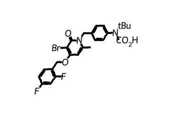 Cc1cc(OCc2ccc(F)cc2F)c(Br)c(=O)n1Cc1ccc(N(C(=O)O)C(C)(C)C)cc1